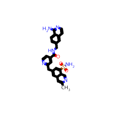 CC1=CC2C=C(Cc3cc(C(=O)NCc4ccc5c(N)nccc5c4)ccn3)C=C(S(N)(=O)=O)C2C=N1